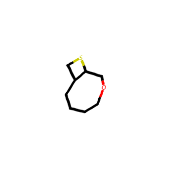 C1CCC2CSC2COC1